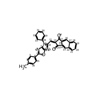 Cc1ccc(-c2nc3c(nc(C=C4C(=O)c5cc6ccccc6cc5C4=O)n3-c3ccccc3)o2)cc1